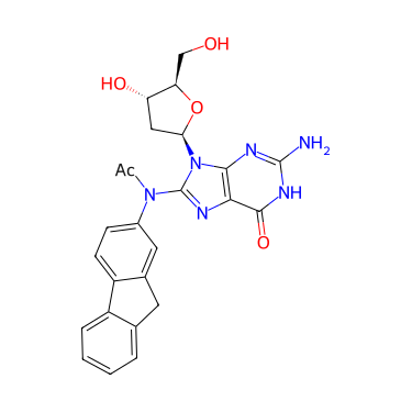 CC(=O)N(c1ccc2c(c1)Cc1ccccc1-2)c1nc2c(=O)[nH]c(N)nc2n1[C@H]1C[C@H](O)[C@@H](CO)O1